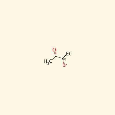 CC[C@@H](Br)C(C)=O